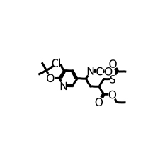 CCOC(=O)C(CSC(C)=O)CC(N=C=O)c1cnc(OC(C)(C)C)c(Cl)c1